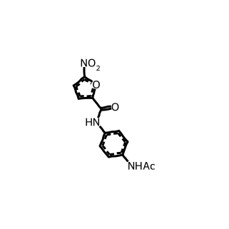 CC(=O)Nc1ccc(NC(=O)c2ccc([N+](=O)[O-])o2)cc1